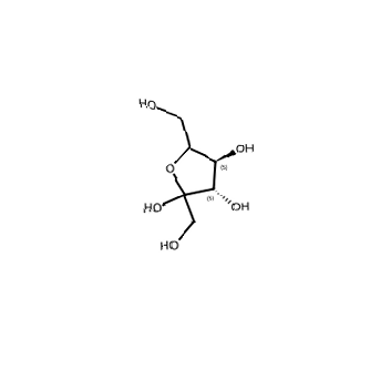 OCC1OC(O)(CO)[C@@H](O)[C@@H]1O